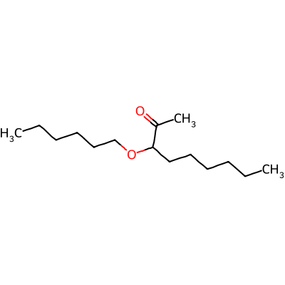 CCCCCCOC(CCCCCC)C(C)=O